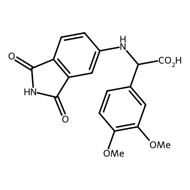 COc1ccc(C(Nc2ccc3c(c2)C(=O)NC3=O)C(=O)O)cc1OC